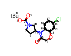 CC(C)(C)OC(=O)N1CCC(N2C(=O)COc3cc(Cl)ccc32)C1